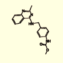 COC(=O)Nc1ccc(CNc2nc(C)nc3ccccc23)cc1